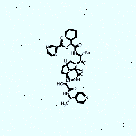 CCC12CC[C@H]3CN(C(=O)[C@@H](NC(=O)[C@@H](NC(=O)c4cnccn4)C4CCCCC4)C(C)(C)C)[C@H](C(=O)N[C@@H]1C(O)C(=O)N[C@@H](C)c1ccncc1)C32